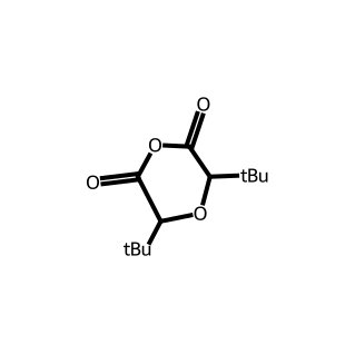 CC(C)(C)C1OC(C(C)(C)C)C(=O)OC1=O